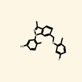 Cc1ccc(F)cc1OCc1ccc2c(C)nn(-c3cc(O)ccc3C)c2c1